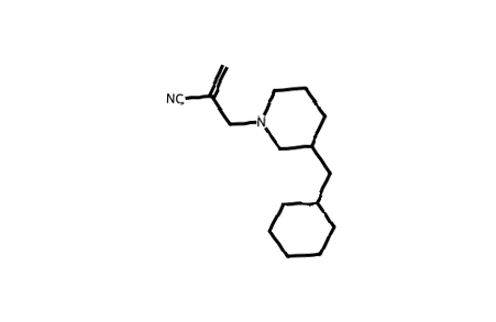 C=C(C#N)CN1CCCC(CC2CCCCC2)C1